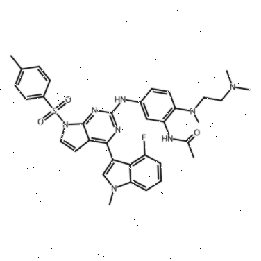 CC(=O)Nc1cc(Nc2nc(-c3cn(C)c4cccc(F)c34)c3ccn(S(=O)(=O)c4ccc(C)cc4)c3n2)ccc1N(C)CCN(C)C